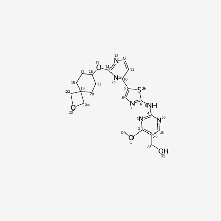 COc1nc(Nc2ncc(-c3ccnc(OC4CCC5(CC4)COC5)n3)s2)ncc1CO